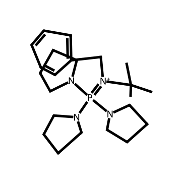 CC(C)(C)[N+](Cc1ccccc1)=P(N1CCCC1)(N1CCCC1)N1CCCC1